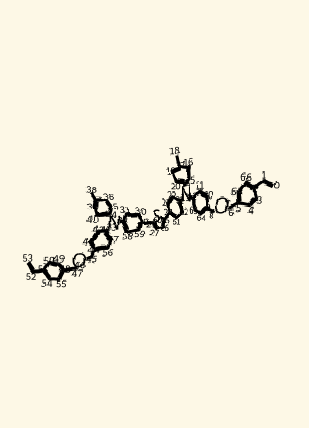 C=Cc1ccc(COCc2ccc(N(c3ccc(C)cc3)c3ccc(-c4ccc(-c5ccc(N(c6ccc(C)cc6)c6ccc(COCc7ccc(C=C)cc7)cc6)cc5)s4)cc3)cc2)cc1